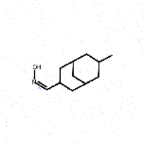 CC1CC2CC(/C=N\O)CC(C1)C2